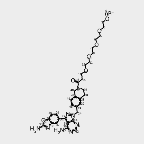 CCCOCCOCCOCCOCCOCCC(=O)N1CCc2cc(Cn3nc(-c4ccc5oc(N)nc5c4)c4c(N)ncnc43)ccc2C1